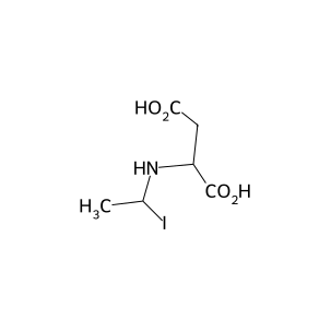 CC(I)NC(CC(=O)O)C(=O)O